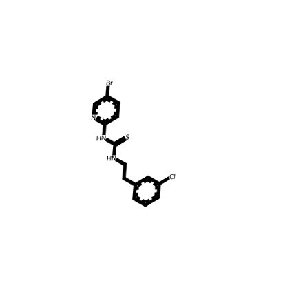 S=C(NCCc1cccc(Cl)c1)Nc1ccc(Br)cn1